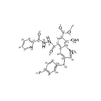 COC(=O)c1cc(C(=O)NNC(=O)c2ccccn2)c2cc(Cc3ccc(F)cc3)cnc2c1O